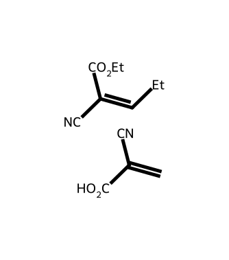 C=C(C#N)C(=O)O.CCC=C(C#N)C(=O)OCC